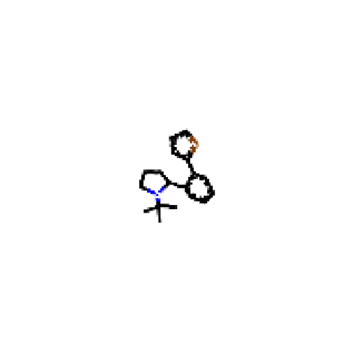 CC(C)(C)N1CCCC1c1ccccc1-c1cccs1